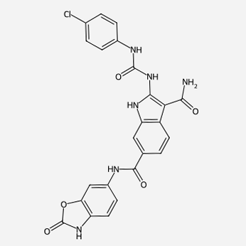 NC(=O)c1c(NC(=O)Nc2ccc(Cl)cc2)[nH]c2cc(C(=O)Nc3ccc4[nH]c(=O)oc4c3)ccc12